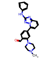 CN1CCN(c2cc(-c3cccc4nc(Nc5ccccc5)nn34)ccc2C=O)CC1